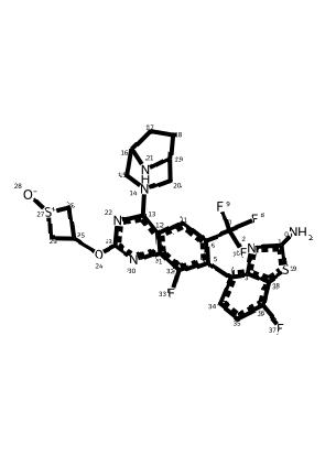 Nc1nc2c(-c3c(C(F)(F)F)cc4c(N5CC6CCC(C5)N6)nc(OC5C[S+]([O-])C5)nc4c3F)ccc(F)c2s1